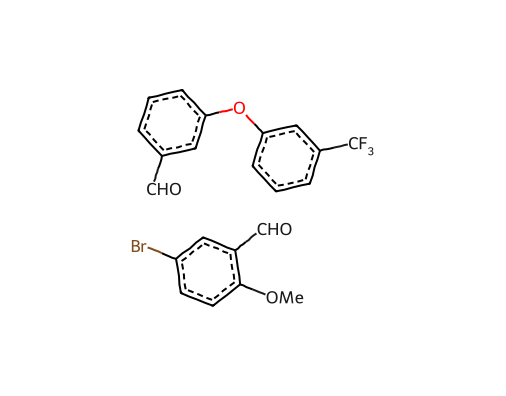 COc1ccc(Br)cc1C=O.O=Cc1cccc(Oc2cccc(C(F)(F)F)c2)c1